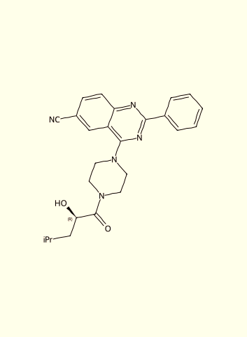 CC(C)C[C@@H](O)C(=O)N1CCN(c2nc(-c3ccccc3)nc3ccc(C#N)cc23)CC1